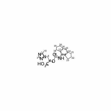 Cc1ncnn1C[C@@H](OC(=O)Nc1c2c(cc3c1CCC3)CCC2)C(=O)O